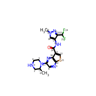 CC1CNCCN1c1cnc2scc(C(=O)Nc3cn(C)nc3C(F)F)c2n1